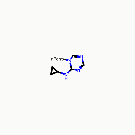 CCCCCN1C=NC=NC1NC1CC1